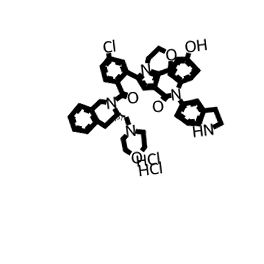 Cl.Cl.O=C(c1cc(-c2cc(Cl)ccc2C(=O)N2Cc3ccccc3C[C@H]2CN2CCOCC2)n2c1COCC2)N(c1ccc(O)cc1)c1ccc2c(c1)CCN2